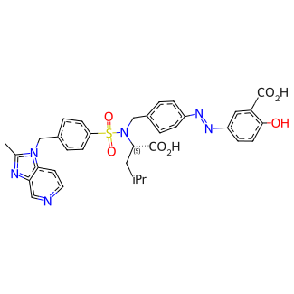 Cc1nc2cnccc2n1Cc1ccc(S(=O)(=O)N(Cc2ccc(N=Nc3ccc(O)c(C(=O)O)c3)cc2)[C@@H](CC(C)C)C(=O)O)cc1